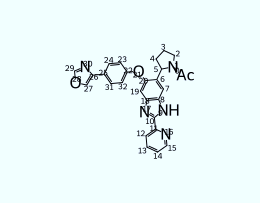 CC(=O)N1CCCC1c1cc2[nH]c(-c3ccccn3)nc2cc1Oc1ccc(-c2cocn2)cc1